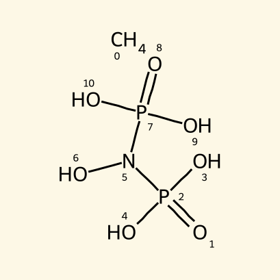 C.O=P(O)(O)N(O)P(=O)(O)O